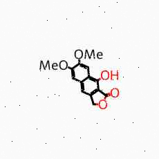 COc1cc2cc3c(c(O)c2cc1OC)C(=O)OC3